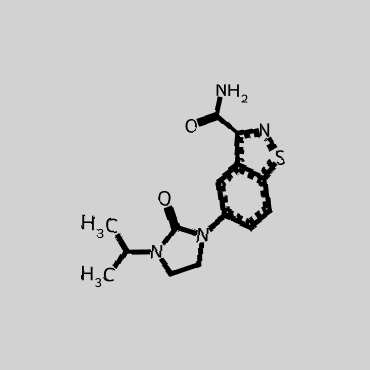 CC(C)N1CCN(c2ccc3snc(C(N)=O)c3c2)C1=O